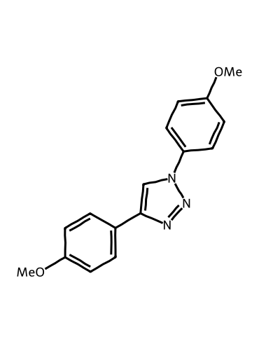 COc1ccc(-c2cn(-c3ccc(OC)cc3)nn2)cc1